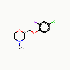 CN1CCO[C@H](COc2ccc(Cl)cc2I)C1